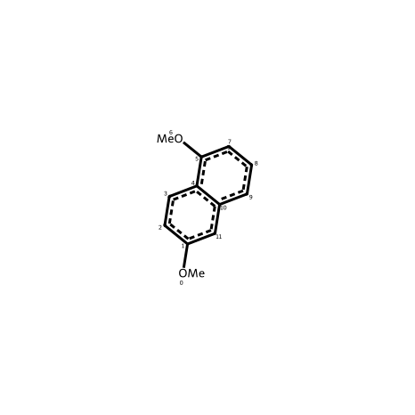 COc1ccc2c(OC)[c]ccc2c1